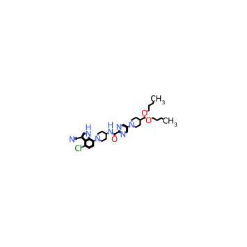 CCCCOC(OCCCC)C1CCN(c2cnc(C(=O)NC3CCN(c4ccc(Cl)c5c(C#N)c[nH]c45)CC3)nc2)CC1